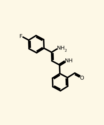 N=C(/C=C(\N)c1ccc(F)cc1)c1ccccc1C=O